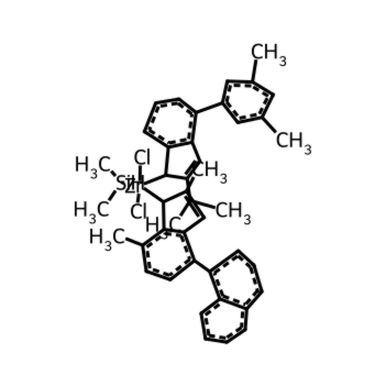 CC1=Cc2c(-c3cccc4ccccc34)ccc(C)c2[CH]1[Zr]([Cl])([Cl])([CH]1C(C(C)C)=Cc2c(-c3cc(C)cc(C)c3)cccc21)[SiH](C)C